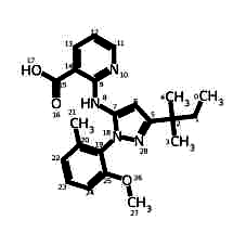 CCC(C)(C)c1cc(Nc2ncccc2C(=O)O)n(-c2c(C)cccc2OC)n1